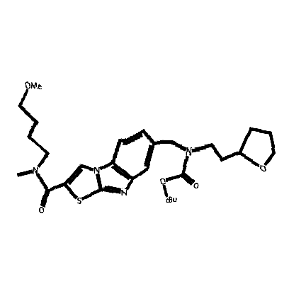 COCCCCN(C)C(=O)c1cn2c(nc3cc(CN(CCC4CCCO4)C(=O)OC(C)(C)C)ccc32)s1